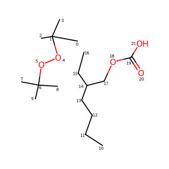 CC(C)(C)OOC(C)(C)C.CCCCC(CC)COC(=O)O